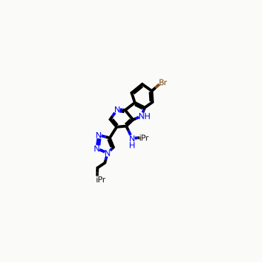 CC(C)CCn1cc(-c2cnc3c([nH]c4cc(Br)ccc43)c2NC(C)C)nn1